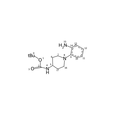 CC(C)(C)OC(=O)NC1CCN(c2ccccc2N)CC1